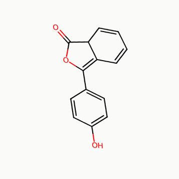 O=C1OC(c2ccc(O)cc2)=C2C=CC=CC12